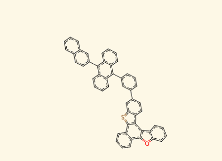 c1cc(-c2ccc3c(c2)sc2c4ccccc4c4oc5ccccc5c4c32)cc(-c2c3ccccc3c(-c3ccc4ccccc4c3)c3ccccc23)c1